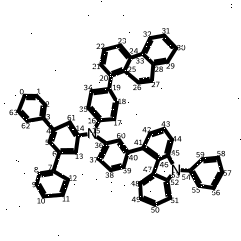 c1ccc(-c2cc(-c3ccccc3)cc(N(c3ccc(-c4cccc5c4ccc4ccccc45)cc3)c3cccc(-c4cccc5c4c4ccccc4n5-c4ccccc4)c3)c2)cc1